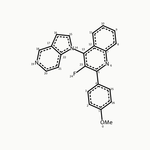 COc1ccc(-c2nc3ccccc3c(-n3ccc4cnccc43)c2F)cc1